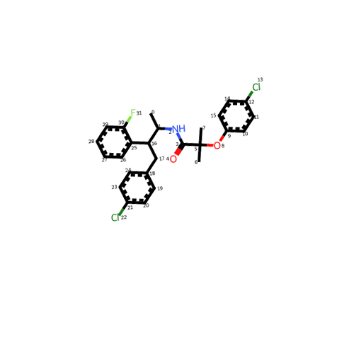 CC(NC(=O)C(C)(C)Oc1ccc(Cl)cc1)C(Cc1ccc(Cl)cc1)c1ccccc1F